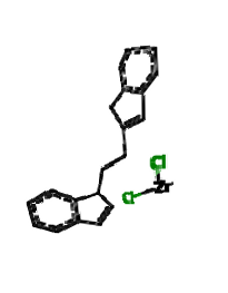 C1=CC(CCC2=Cc3ccccc3C2)c2ccccc21.[Cl][Zr][Cl]